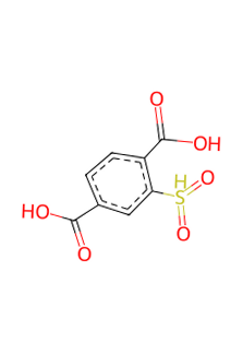 O=C(O)c1ccc(C(=O)O)c([SH](=O)=O)c1